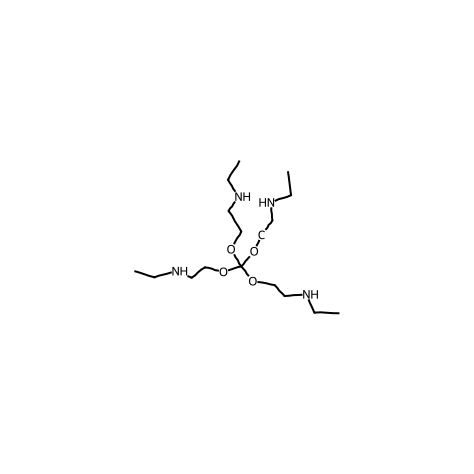 CCNCCOC(OCCNCC)(OCCNCC)OCCNCC